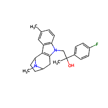 Cc1ccc2c(c1)c1c(n2CC(C)(O)c2ccc(F)cc2)CC2CCC1N2C